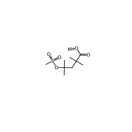 COC(=O)C(C)(C)CC(C)(C)OS(C)(=O)=O